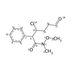 CON(C)C(=O)C(c1ccccc1)C(Cl)CCC=O